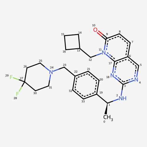 C[C@H](Nc1ncc2ccc(=O)n(CC3CCC3)c2n1)c1ccc(CN2CCC(F)(F)CC2)cc1